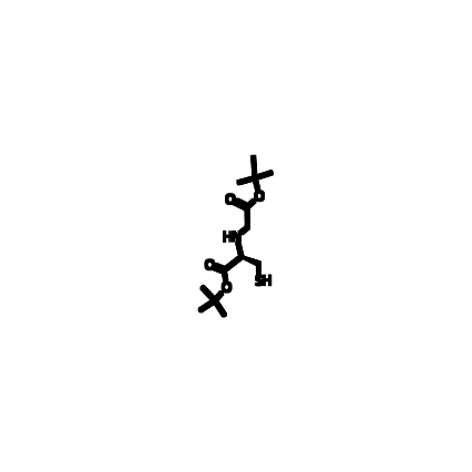 CC(C)(C)OC(=O)CN[C@@H](CS)C(=O)OC(C)(C)C